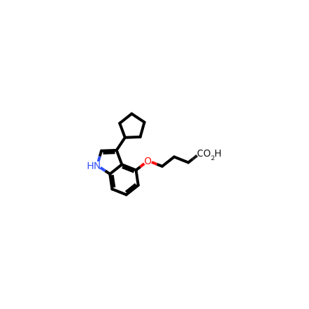 O=C(O)CCCOc1cccc2[nH]cc(C3CCCC3)c12